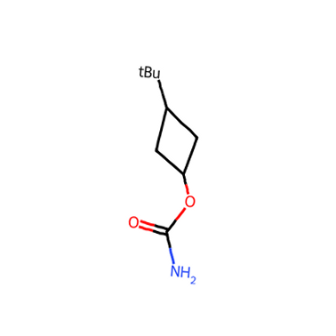 CC(C)(C)C1CC(OC(N)=O)C1